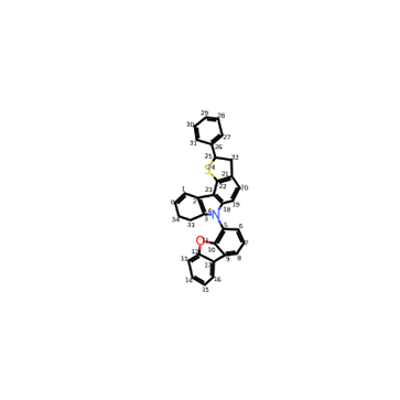 C1=Cc2c(n(-c3cccc4c3oc3ccccc34)c3ccc4c(c23)SC(c2ccccc2)C4)CC1